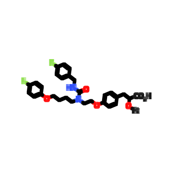 CCOC(Cc1ccc(OCCN(CCCCOc2ccc(F)cc2)C(=O)NCc2ccc(F)cc2)cc1)C(=O)O